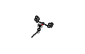 CCCCCCCCOc1ccc(-c2nnc(-c3cc(C#Cc4ccc5ccc6cccc7ccc4c5c67)ccc3C#Cc3ccc4ccc5cccc6ccc3c4c56)o2)cc1